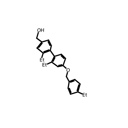 CCc1ccc(COc2ccc(-c3ccc(CO)cc3CC)c(CC)c2)cc1